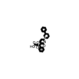 CC(C)(C(=O)O)[C@H]1c2ccccc2Oc2nc(N3CCCC(c4ccccc4)C3)ccc21